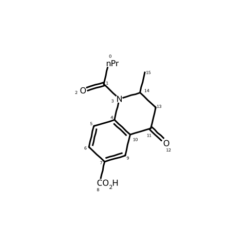 CCCC(=O)N1c2ccc(C(=O)O)cc2C(=O)CC1C